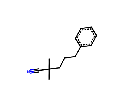 CC(C)(C#N)CCCc1ccccc1